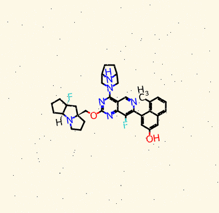 Cc1cccc2cc(O)cc(-c3ncc4c(N5CC6CCC(C5)N6)nc(OC[C@@]56CCCN5[C@H]5CCC[C@@]5(F)C6)nc4c3F)c12